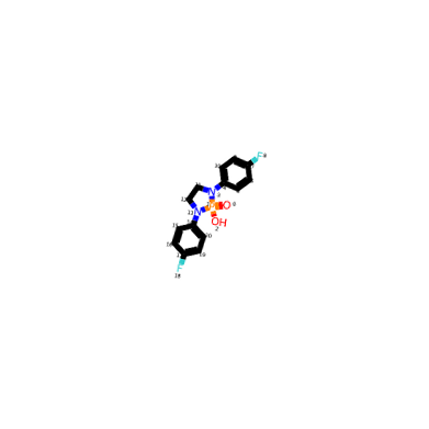 O=P1(O)N(c2ccc(F)cc2)CCN1c1ccc(F)cc1